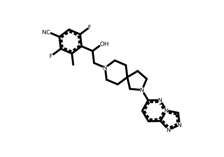 Cc1c(F)c(C#N)cc(F)c1C(O)CN1CCC2(CC1)CCN(c1ccc3nncn3n1)C2